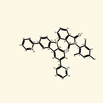 Cc1cc(C)c(N2C(=O)c3cccc(-n4c5ccc(-c6ccccn6)cc5c5cc(-c6ccccn6)ccc54)c3C2=O)c(C)c1